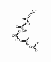 O=[Si](O)O.O=[Si](O)O.O=[Si]([O-])[O-].O=[Si]([O-])[O-].O=[Si]([O-])[O-].[Al+3].[Al+3]